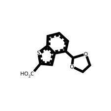 O=C(O)c1cc2c(C3OCCO3)cccc2s1